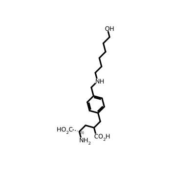 N[C@@H](CC(Cc1ccc(CNCCCCCCO)cc1)C(=O)O)C(=O)O